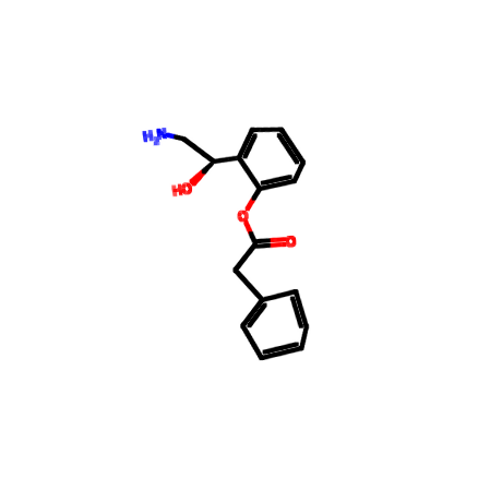 NC[C@H](O)c1ccccc1OC(=O)Cc1ccccc1